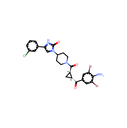 Nc1c(Br)cc(C(=O)[C@@H]2C[C@H]2C(=O)N2CCC(n3cc(-c4cccc(Cl)c4)[nH]c3=O)CC2)cc1Br